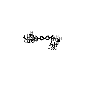 CC(C)[C@H](NC(=O)C1CC1)C(=O)N1[C@@H]2C[C@@H]2C[C@H]1c1nc(-c2ccc(-c3ccc(-c4c[nH]c([C@@H]5C[C@H]6C[C@H]6N5C(=O)[C@H](C(C)C)N(C(=O)O)C5CC5)n4)cc3)cc2)c[nH]1